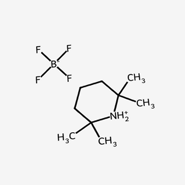 CC1(C)CCCC(C)(C)[NH2+]1.F[B-](F)(F)F